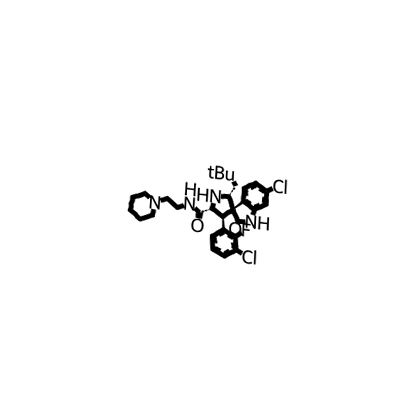 CC(C)(C)C[C@H]1N[C@@H](C(=O)NCCN2CCCCC2)[C@H](c2cccc(Cl)c2F)[C@@]12C(=O)Nc1cc(Cl)ccc12